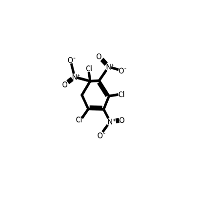 O=[N+]([O-])C1=C(Cl)CC(Cl)([N+](=O)[O-])C([N+](=O)[O-])=C1Cl